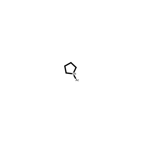 CC(=O)[SH]1CCCC1